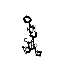 Cn1ncc(C(=O)N2CCC2)c1C(=O)Nc1ccn2nc(-c3ccccc3)nc2c1